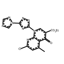 CCOC(=O)c1cn(-c2nc(-n3cncn3)ns2)c2nc(Cl)cc(C)c2c1=O